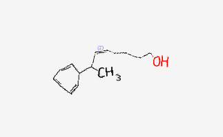 CC(/C=C\CCCCO)C1C=CC=CC=C1